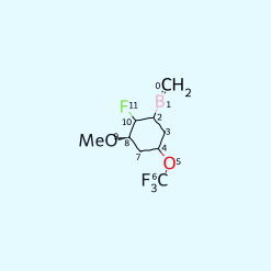 C=BC1CC(OC(F)(F)F)C[C@@H](OC)C1F